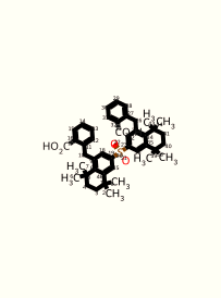 CC1(C)CCC(C)(C)c2c(Cc3ccccc3C(=O)O)cc(S(=O)(=O)c3cc(Cc4ccccc4C(=O)O)c4c(c3)C(C)(C)CCC4(C)C)cc21